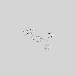 COc1cccc(CN(CCCC2CC(n3c(=O)[nH]c4ccccc43)CCN2C(=O)O)Cc2ccccc2)c1